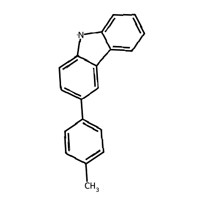 Cc1ccc(-c2ccc3c(c2)-c2ccccc2[N]3)cc1